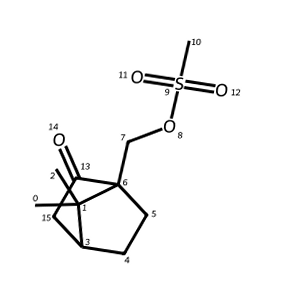 CC1(C)C2CCC1(COS(C)(=O)=O)C(=O)C2